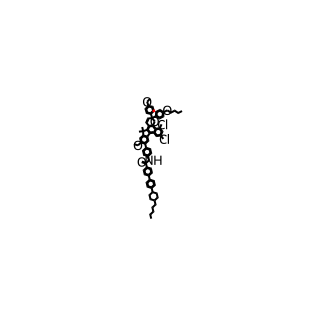 CCCCCC1CCC(c2ccc(-c3ccc(C(=O)Nc4ccc(-c5cc6c(cc5OC)C(C)(C)c5c7c(c8c(Cl)cc(Cl)cc8c5-6)OC(c5ccc(OC)cc5)(c5ccc(OCCCC)cc5)C=C7)cc4)cc3)cc2)CC1